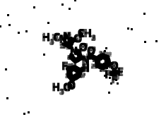 COc1cc(F)c([C@@H]2CN(c3cn(C)nc3OC)C(=O)[C@H]2NC(=O)c2ccc(OC(F)(F)F)cc2)c(F)c1